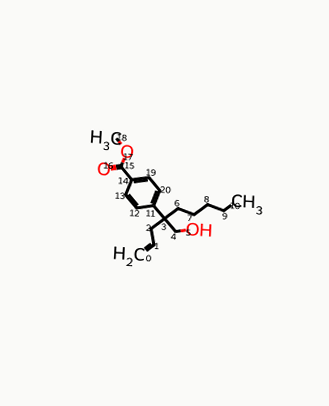 C=CCC(CO)(CCCCC)c1ccc(C(=O)OC)cc1